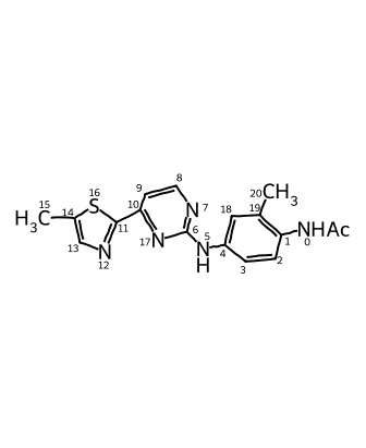 CC(=O)Nc1ccc(Nc2nccc(-c3ncc(C)s3)n2)cc1C